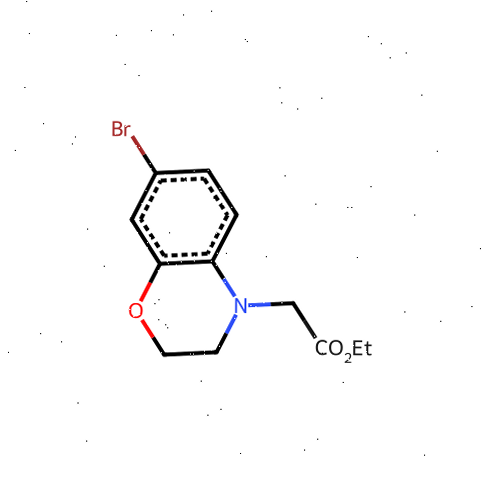 CCOC(=O)CN1CCOc2cc(Br)ccc21